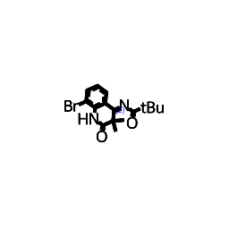 CC(C)(C)C(=O)/N=C1/c2cccc(Br)c2NC(=O)C1(C)C